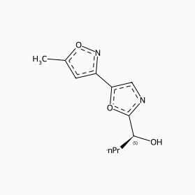 CC[CH][C@H](O)c1ncc(-c2cc(C)on2)o1